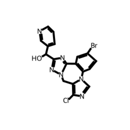 OC(c1cccnc1)c1nc2n(n1)Cc1c(Cl)ncn1-c1ccc(Br)cc1-2